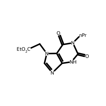 CCCn1c(=O)[nH]c2ncn(CC(=O)OCC)c2c1=O